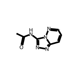 CC(=O)Nc1nnc2cc[c]nn12